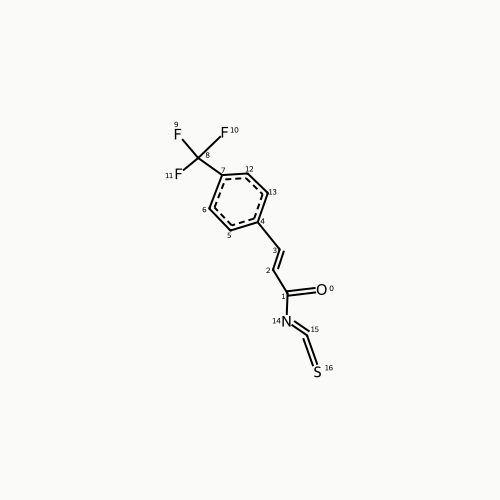 O=C(C=Cc1ccc(C(F)(F)F)cc1)N=C=S